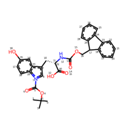 CC(C)(C)OC(=O)n1cc(C[C@H](NC(=O)OCC2c3ccccc3-c3ccccc32)C(=O)O)c2cc(O)ccc21